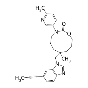 CC#Cc1ccc2ncn(CC3(C)CCCOC(=O)N(c4ccc(C)nc4)CCC3)c2c1